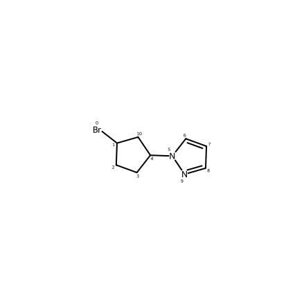 BrC1CCC(n2cccn2)C1